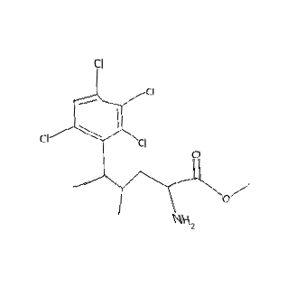 COC(=O)C(N)CC(C)C(C)c1c(Cl)cc(Cl)c(Cl)c1Cl